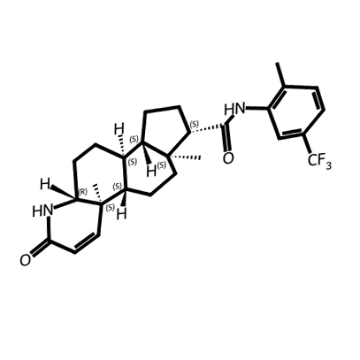 Cc1ccc(C(F)(F)F)cc1NC(=O)[C@H]1CC[C@H]2[C@@H]3CC[C@H]4NC(=O)C=C[C@]4(C)[C@H]3CC[C@]12C